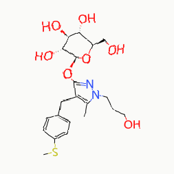 CSc1ccc(Cc2c(O[C@@H]3O[C@H](CO)[C@@H](O)[C@H](O)[C@H]3O)nn(CCCO)c2C)cc1